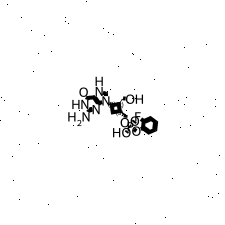 Nc1nc2c(c(=O)[nH]1)NCN2[C@@H]1C[C@H](COP(=O)(O)Oc2ccccc2F)[C@H]1CO